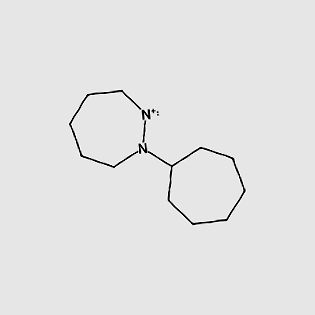 C1CCCC(N2CCCCC[N+]2)CC1